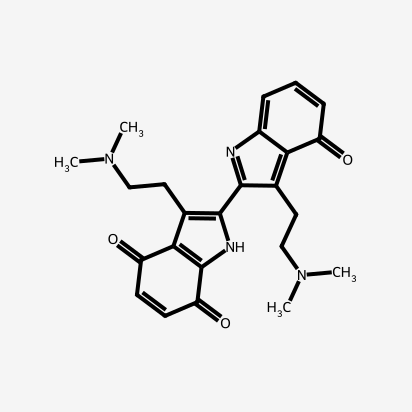 CN(C)CCC1=C2C(=O)C=CC=C2N=C1c1[nH]c2c(c1CCN(C)C)C(=O)C=CC2=O